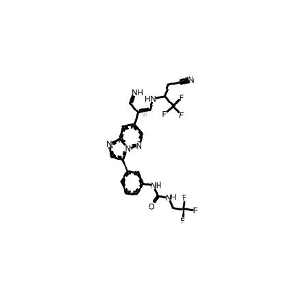 N#CCC(N/C=C(\C=N)c1cnn2c(-c3cccc(NC(=O)NCC(F)(F)F)c3)cnc2c1)C(F)(F)F